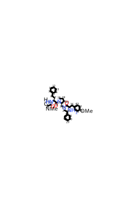 CN[C@@H](C)C(=O)N[C@@H](CCc1ccccc1)C(=O)N1CCC[C@H]1CN(CCc1ccccc1)C(=O)[C@H](N)Cc1ccc(OC)cc1